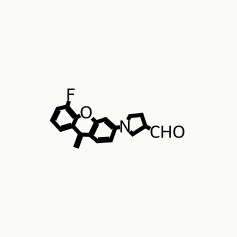 C=C1c2ccc(N3CCC(C=O)C3)cc2Oc2c(F)cccc21